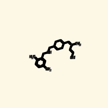 Cc1ccc(C)c(CNCC2CCC(CN(C)CCO)CC2)c1